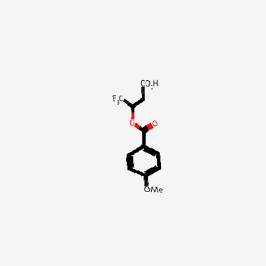 COc1ccc(C(=O)OC(CC(=O)O)C(F)(F)F)cc1